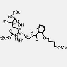 CCCCNC(=O)[C@@H](C[C@H](O)[C@H](C[C@H](CNC(=O)c1ncccc1OCCCCOC)C(C)C)NC(=O)OC(C)(C)C)C(C)C